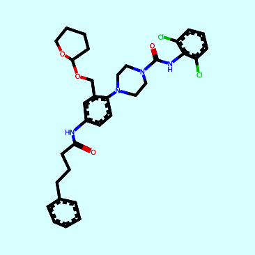 O=C(CCCc1ccccc1)Nc1ccc(N2CCN(C(=O)Nc3c(Cl)cccc3Cl)CC2)c(COC2CCCCO2)c1